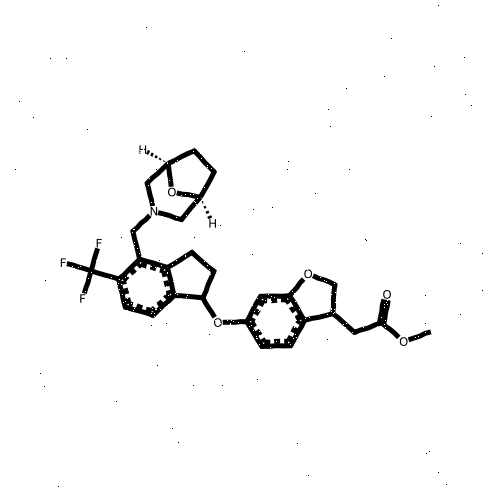 COC(=O)CC1COc2cc(OC3CCc4c3ccc(C(F)(F)F)c4CN3C[C@H]4CC[C@@H](C3)O4)ccc21